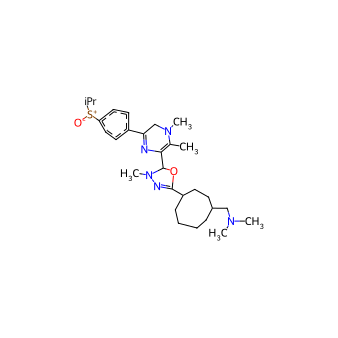 CC1=C(C2OC(C3CCCCC(CN(C)C)CC3)=NN2C)N=C(c2ccc([S+]([O-])C(C)C)cc2)CN1C